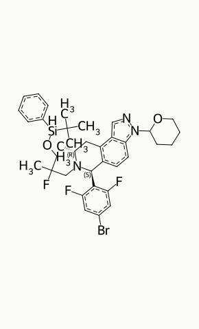 C[C@@H]1Cc2c(ccc3c2cnn3C2CCCCO2)[C@@H](c2c(F)cc(Br)cc2F)N1CC(C)(F)CO[SiH](c1ccccc1)C(C)(C)C